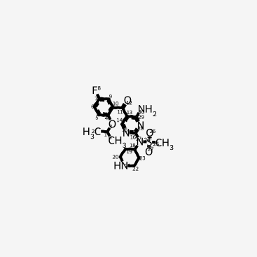 CC(C)Oc1ccc(F)cc1C(=O)c1cnc(N(C2CCNCC2)S(C)(=O)=O)nc1N